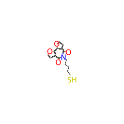 O=c1c2ccoc2c2occc2c(=O)n1CCCCCS